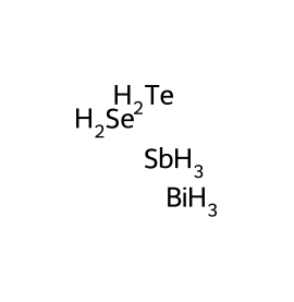 [BiH3].[SbH3].[SeH2].[TeH2]